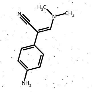 CN(C)/C=C(\C#N)c1ccc(N)cc1